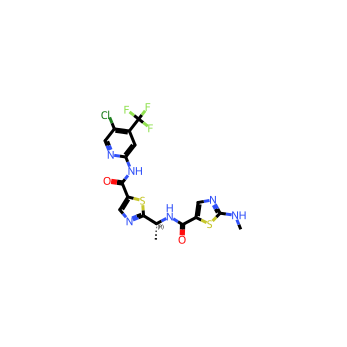 CNc1ncc(C(=O)N[C@H](C)c2ncc(C(=O)Nc3cc(C(F)(F)F)c(Cl)cn3)s2)s1